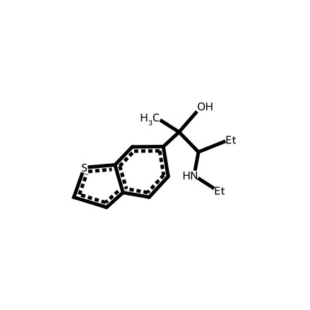 CCNC(CC)C(C)(O)c1ccc2ccsc2c1